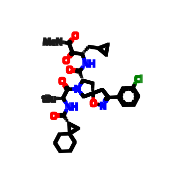 CNC(=O)C(=O)[C@H](CC1CC1)NC(=O)[C@@H]1C[C@]2(CC(c3cccc(Cl)c3)=NO2)CN1C(=O)[C@@H](NC(=O)[C@@H]1CC12CCCCC2)C(C)(C)C